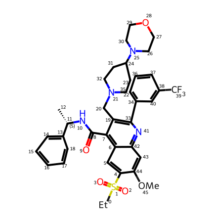 CCS(=O)(=O)c1cc2c(C(=O)N[C@@H](C)c3ccccc3)c(CN3CCC(N4CCOCC4)CC3)c(-c3cccc(C(F)(F)F)c3)nc2cc1OC